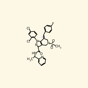 CC(NC(=O)c1nn(-c2ccc(Cl)cc2Cl)c2c1CN(S(C)(=O)=O)C/C2=C\c1ccc(F)cc1)c1ccccn1